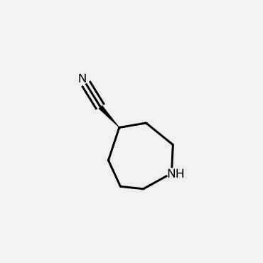 N#C[C@@H]1CCCNCC1